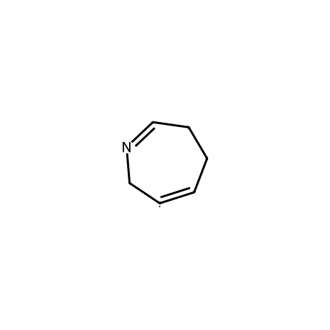 [C]1=CCCC=NC1